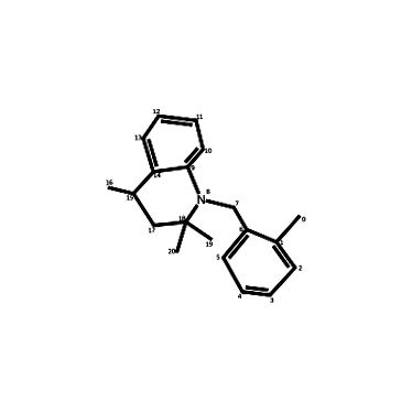 Cc1ccccc1CN1c2ccccc2C(C)CC1(C)C